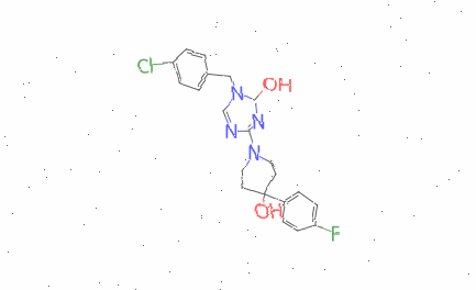 OC1N=C(N2CCC(O)(c3ccc(F)cc3)CC2)N=CN1Cc1ccc(Cl)cc1